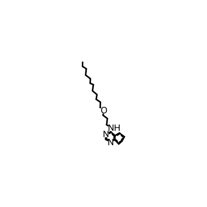 CCCCCCCCCCCCOCCCNc1ncnc2ccccc12